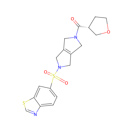 O=C([C@@H]1CCOC1)N1CC2=C(C1)CN(S(=O)(=O)c1ccc3ncsc3c1)C2